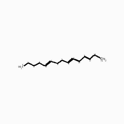 [CH2]CCCC=CCCC=CCCCCC